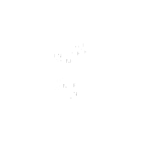 Nc1ccc(OC(F)(F)F)cc1NC(=O)C1CCC2(CC1)CN(c1cccnc1F)C(=O)O2